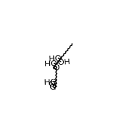 CCCCCCCCCCCCC(O)C(O)CCC(O)C1CCC(CCCCCCCC(O)CC2=CC(C)OC2=O)O1